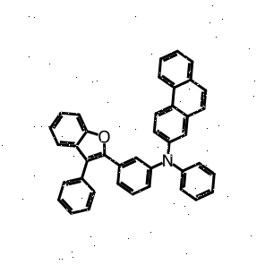 c1ccc(-c2c(-c3cccc(N(c4ccccc4)c4ccc5c(ccc6ccccc65)c4)c3)oc3ccccc23)cc1